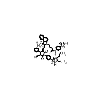 CCCCC(CC)NS(=O)(=O)c1ccc(N2C(=O)C(C#N)=C(c3ccccc3)/C(=C/C=C3/N(CCCC(=O)Nc4ccc(S(=O)(=O)O)cc4)c4ccc5ccccc5c4C3(C)C)C2=O)cc1